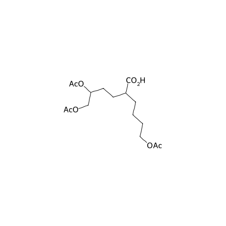 CC(=O)OCCCCC(CCC(COC(C)=O)OC(C)=O)C(=O)O